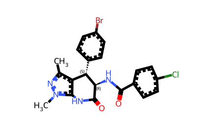 Cc1nn(C)c2c1[C@H](c1ccc(Br)cc1)[C@@H](NC(=O)c1ccc(Cl)cc1)C(=O)N2